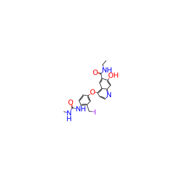 CCNC(=O)c1cc2c(Oc3ccc(NC(=O)NC)c(CI)c3)ccnc2cc1O